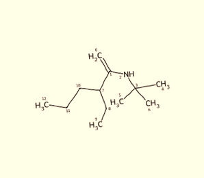 C=C(NC(C)(C)C)C(CC)CCC